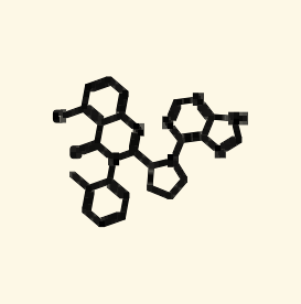 Cc1ccccc1-n1c(C2CCCN2c2ncnc3[nH]cnc23)nc2cccc(Cl)c2c1=O